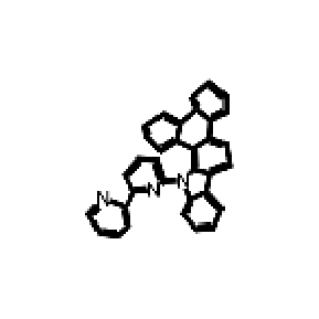 c1ccc(-c2cccc(-n3c4ccccc4c4ccc5c6ccccc6c6ccccc6c5c43)n2)nc1